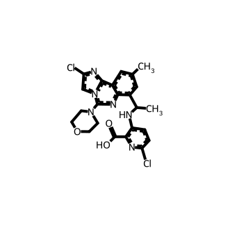 Cc1cc(C(C)Nc2ccc(Cl)nc2C(=O)O)c2nc(N3CCOCC3)n3cc(Cl)nc3c2c1